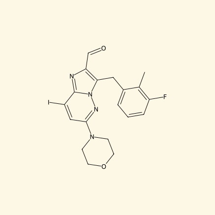 Cc1c(F)cccc1Cc1c(C=O)nc2c(I)cc(N3CCOCC3)nn12